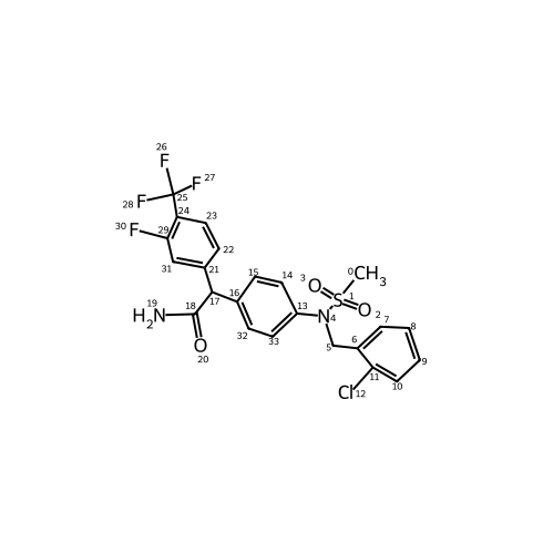 CS(=O)(=O)N(Cc1ccccc1Cl)c1ccc(C(C(N)=O)c2ccc(C(F)(F)F)c(F)c2)cc1